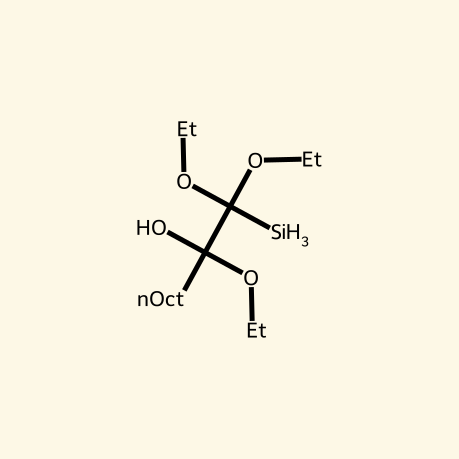 CCCCCCCCC(O)(OCC)C([SiH3])(OCC)OCC